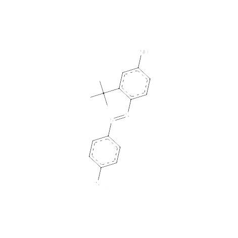 Nc1ccc(N=Nc2ccc(N)cc2C(F)(F)F)cc1